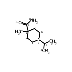 CC(C)N1CCC(C)(C(N)=O)CC1